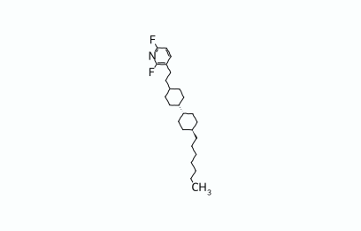 CCCCCCC[C@H]1CC[C@H](C2CCC(CCc3ccc(F)nc3F)CC2)CC1